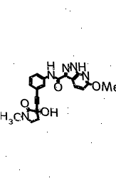 COc1ccc2c(C(=O)Nc3cccc(C#C[C@]4(O)CCN(C)C4=O)c3)n[nH]c2n1